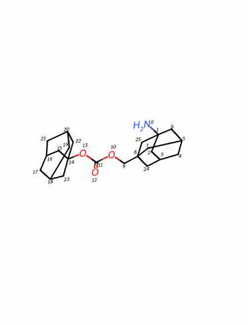 NC12CC3CC(C1)CC(COC(=O)OC14CC5CC(CC(C5)C1)C4)(C3)C2